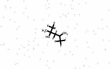 CC(C(F)(F)F)C(F)(F)C(C)(O)C(F)(F)F